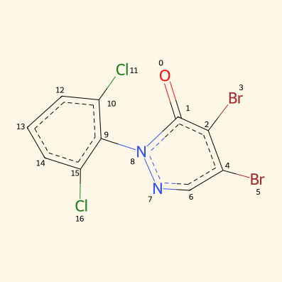 O=c1c(Br)c(Br)cnn1-c1c(Cl)cccc1Cl